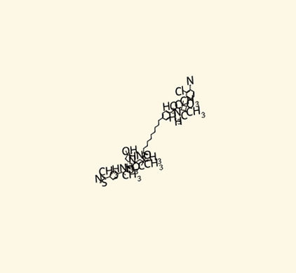 Cc1ncsc1-c1ccc([C@H](C)NC(=O)[C@@H]2C[C@@H](O)CN2C(=O)C(NC(=O)CCCCCCCCCc2ccc(C(=O)NC3C(C)(C)C(Oc4ccc(C#N)c(Cl)c4)C3(C)C)cc2)C(C)(C)C)cc1